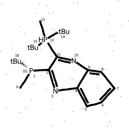 C[P@@](c1nc2ccccc2nc1[PH](C)(C(C)(C)C)C(C)(C)C)C(C)(C)C